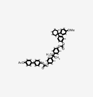 COc1ccc(C2(c3ccc(OC(=O)Oc4ccc(C(C)(C)c5ccc(OC(=O)Oc6ccc(-c7ccc(OC(C)=O)cc7)cc6)cc5)cc4)cc3)CCCCC2)cc1